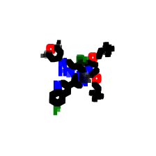 CCC(C)(OCC[Si](C)(C)C)N(c1c(Br)c(CNC2C[C@@H](C)O[C@@H](C)C2)nc2c(-c3cnc4ccc(F)cc4c3)cnn12)C(C)(CC)OCC[Si](C)(C)C